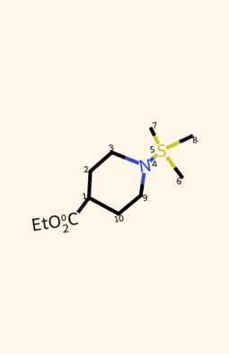 CCOC(=O)C1CCN(S(C)(C)C)CC1